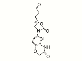 O=CCC[C@@H]1CN(c2ccc3c(n2)NC(=O)CO3)C(=O)O1